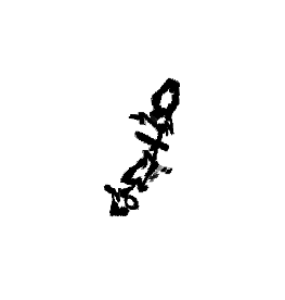 C[C@H]1N(C(C)(C)c2nc3ccccc3n2C)C=C[N+]1(C)c1occ[n+]1C